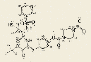 CC(C)(C)OC(=O)[C@H](Cc1ccc(OC(=O)N2CCN(C(=O)Cl)CC2)cc1)NC(=O)[C@@H](NS(=O)(=O)c1cccnc1)C(C)(C)S